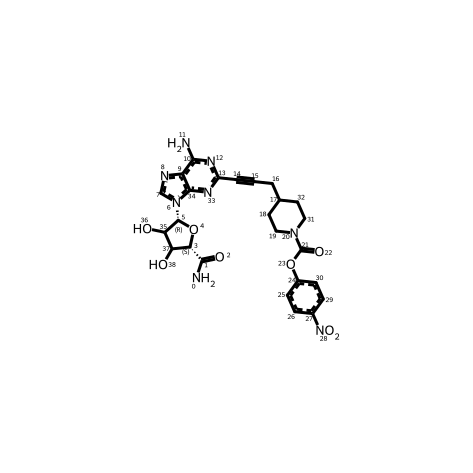 NC(=O)[C@H]1O[C@@H](n2cnc3c(N)nc(C#CCC4CCN(C(=O)Oc5ccc([N+](=O)[O-])cc5)CC4)nc32)C(O)C1O